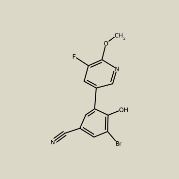 COc1ncc(-c2cc(C#N)cc(Br)c2O)cc1F